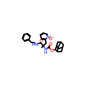 CC(Cc1cccc[n+]1[O-])(NC(=O)OC1C2CC3CC(C2)CC1C3)C(=O)NCCc1ccccc1